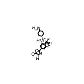 Cl.N[C@H]1CC[C@H](CNc2cc(-c3n[nH]c(=O)o3)cc(F)c2C(F)(F)F)CC1